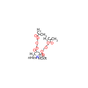 C=C(C)C(=O)OCCOCCOC(=O)C(C)CC(C)(CN(CCCCCC)CCCCCCCC)C(=O)OCCOCCOC(=O)C(=C)C